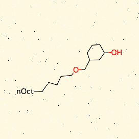 CCCCCCCCCCCCCOCC1CCCC(O)C1